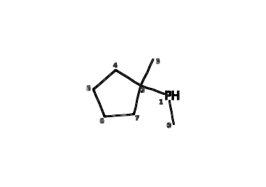 CPC1(C)CCCC1